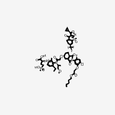 CCCCCOC(=O)COc1cc(N2C(=O)C3=C(CCCC3)C2=O)c(F)cc1Cl.CCc1cccc(C)c1N(C(=O)CCl)C(C)COC.CP(=O)(O)CCC(N)C(=O)O.CS(=O)(=O)c1cc(C(F)(F)F)ccc1C(=O)c1cnoc1C1CC1